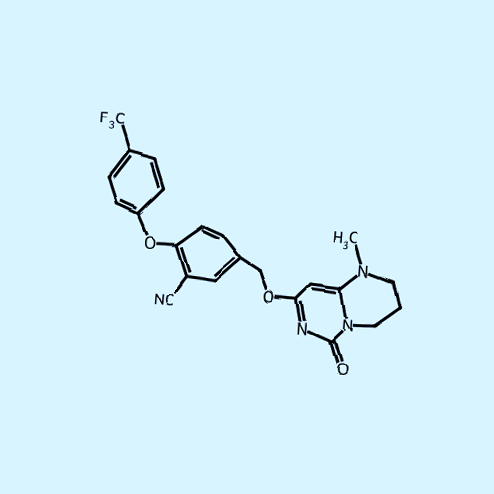 CN1CCCn2c1cc(OCc1ccc(Oc3ccc(C(F)(F)F)cc3)c(C#N)c1)nc2=O